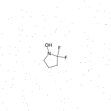 ON1CCCC1(F)F